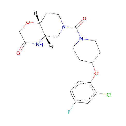 O=C1CO[C@@H]2CCN(C(=O)N3CCC(Oc4ccc(F)cc4Cl)CC3)C[C@@H]2N1